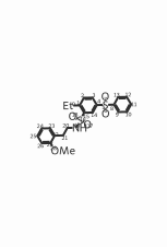 CCc1ccc(S(=O)(=O)c2ccccc2)cc1S(=O)(=O)NCCc1ccccc1OC